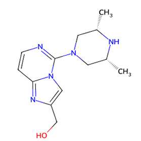 C[C@@H]1CN(c2nccc3nc(CO)cn23)C[C@H](C)N1